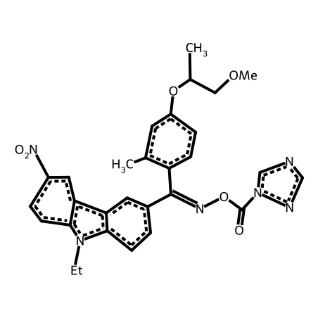 CCn1c2ccc(/C(=N/OC(=O)n3cncn3)c3ccc(OC(C)COC)cc3C)cc2c2cc([N+](=O)[O-])ccc21